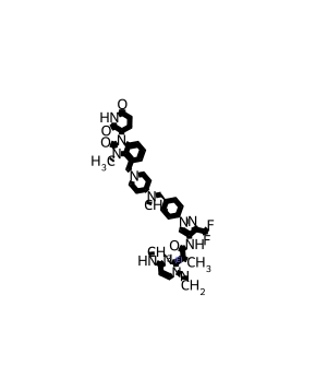 C=NN1C=CC(NC)=N/C1=C(/C)C(=O)Nc1cn([C@H]2CC[C@H](CN(C)C3CCN(Cc4cccc5c4n(C)c(=O)n5C4CCC(=O)NC4=O)CC3)CC2)nc1C(F)F